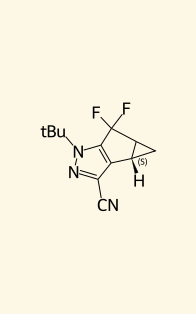 CC(C)(C)n1nc(C#N)c2c1C(F)(F)C1C[C@H]21